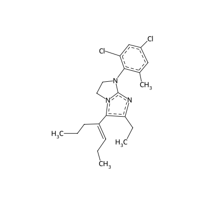 CCC=C(CCC)c1c(CC)nc2n1CCN2c1c(C)cc(Cl)cc1Cl